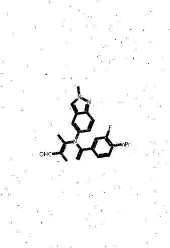 C=C(c1ccc(CCC)c(F)c1)N(/C(C)=C(\C)C=O)c1ccc2nn(C)cc2c1